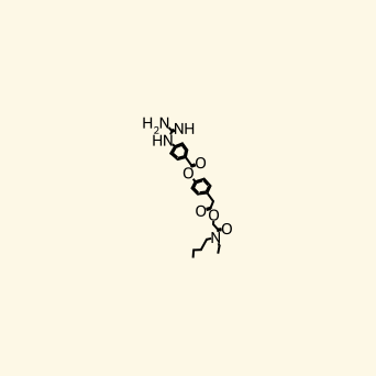 CCCCN(CC)C(=O)COC(=O)Cc1ccc(OC(=O)c2ccc(NC(=N)N)cc2)cc1